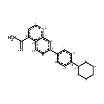 NC(=O)c1ccnc2cc(-c3ccc(C4CCCCC4)cc3)ccc12